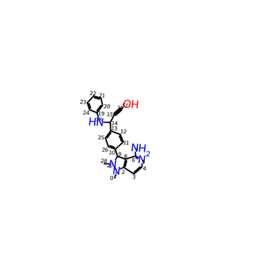 CN1c2ccnc(N)c2C(c2ccc(C(C#CO)Nc3ccccc3)cc2)N1C